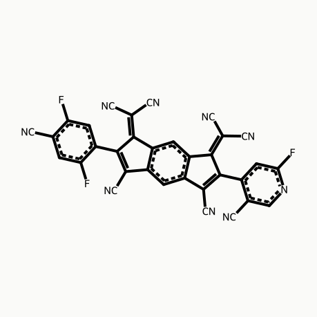 N#CC(C#N)=C1C(c2cc(F)c(C#N)cc2F)=C(C#N)c2cc3c(cc21)C(=C(C#N)C#N)C(c1cc(F)ncc1C#N)=C3C#N